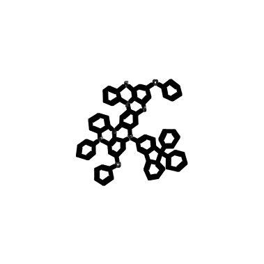 c1ccc(Oc2cc3c4c(c2)Sc2cc5c(cc2B4c2ccccc2S3)B2c3ccccc3N(c3ccccc3)c3cc(Oc4ccccc4)cc(c32)N5c2ccc3c(c2)-c2ccccc2C3(c2ccccc2)c2ccccc2)cc1